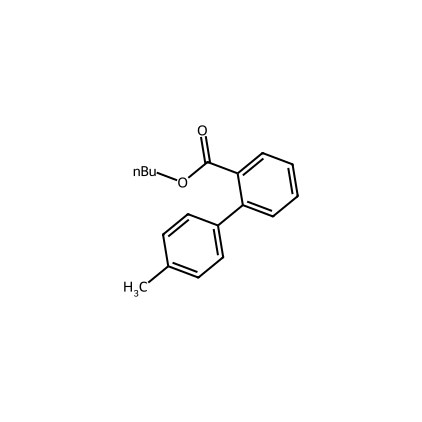 CCCCOC(=O)c1ccccc1-c1ccc(C)cc1